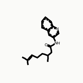 CC(C)=CCCC(C)CC(=O)Nc1cnc2ccccc2c1